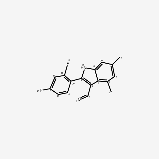 Cc1cc(C)c2c(C=O)c(-c3ccc(F)cc3F)[nH]c2c1